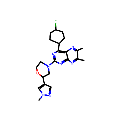 Cc1nc2nc(N3CCOC(c4cnn(C)c4)C3)nc(C3CCC(Cl)CC3)c2nc1C